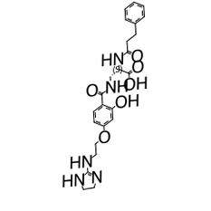 O=C(CCc1ccccc1)N[C@@H](CNC(=O)c1ccc(OCCNC2=NCCN2)cc1O)C(=O)O